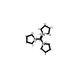 C1CCN(C(N2CCCC2)=[N+]2CCCC2)C1